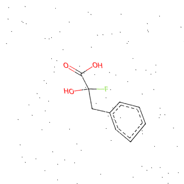 O=C(O)C(O)(F)Cc1ccccc1